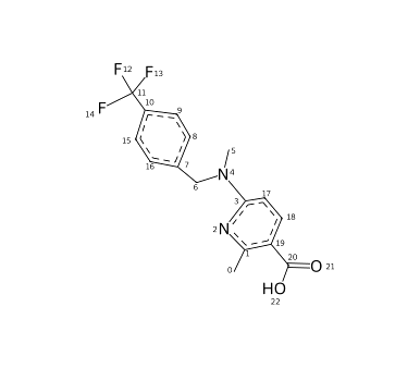 Cc1nc(N(C)Cc2ccc(C(F)(F)F)cc2)ccc1C(=O)O